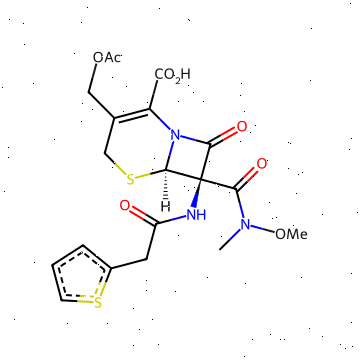 CON(C)C(=O)[C@@]1(NC(=O)Cc2cccs2)C(=O)N2C(C(=O)O)=C(COC(C)=O)CS[C@@H]21